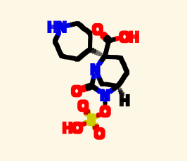 O=C1N(OS(=O)(=O)O)[C@@H]2CC[C@@](C(=O)O)(C3CCCNCC3)N1C2